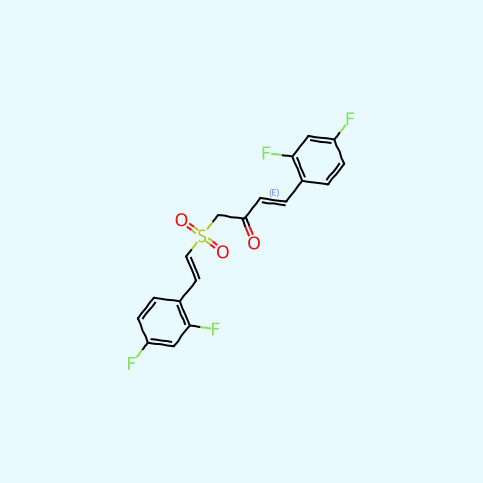 O=C(/C=C/c1ccc(F)cc1F)CS(=O)(=O)C=Cc1ccc(F)cc1F